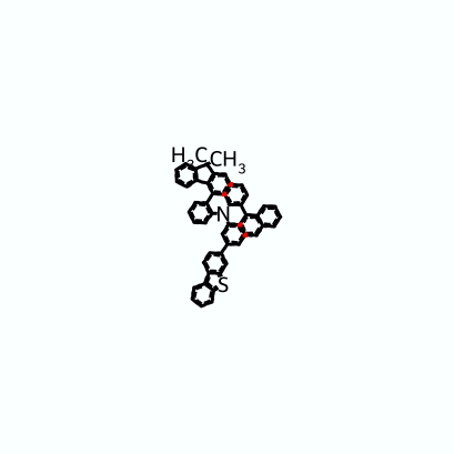 CC1(C)c2ccccc2-c2c(-c3ccccc3N(c3cccc(-c4ccc5c(c4)sc4ccccc45)c3)c3ccccc3-c3cccc4ccccc34)cccc21